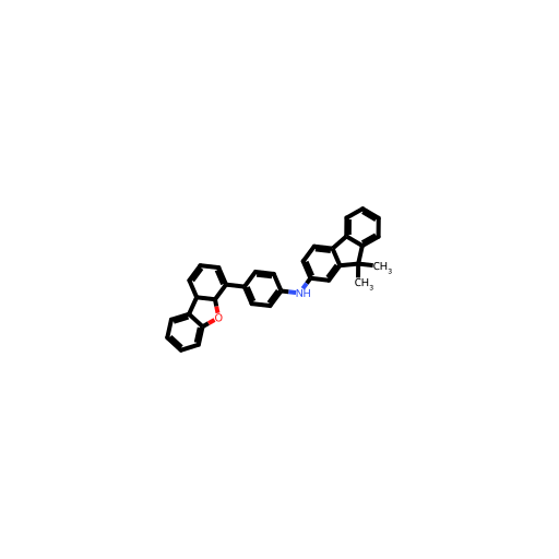 CC1(C)c2ccccc2-c2ccc(Nc3ccc(C4=CC=CC5c6ccccc6OC45)cc3)cc21